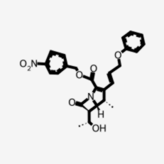 C[C@@H](O)[C@H]1C(=O)N2C(C(=O)OCc3ccc([N+](=O)[O-])cc3)=C(/C=C/COc3ccccc3)[C@H](C)[C@H]12